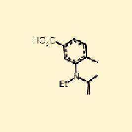 C=C(C)N(CC)c1cc(C(=O)O)ccc1C